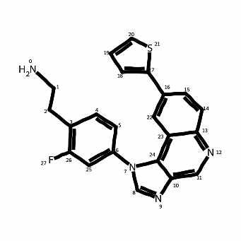 NCCc1ccc(-n2cnc3cnc4ccc(-c5cccs5)cc4c32)cc1F